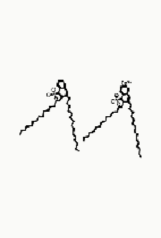 CCCCCCCCCCCCCCCc1cc2ccccc2c(S(=O)(=O)[O-])c1CCCCCCCCCCCCCCC.CCCCCCCCCCCCCCCc1cc2ccccc2c(S(=O)(=O)[O-])c1CCCCCCCCCCCCCCC.[Ca+2]